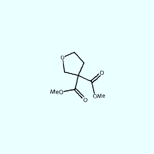 COC(=O)C1(C(=O)OC)CCOC1